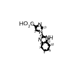 O=C(O)c1cn(-c2nc3ccccc3[nH]2)cn1